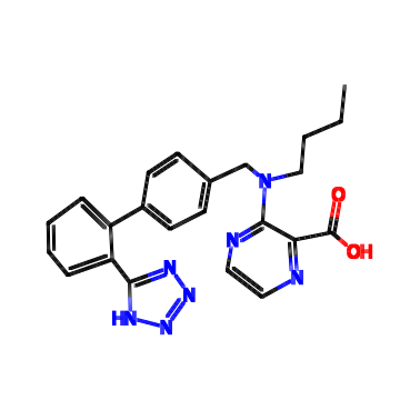 CCCCN(Cc1ccc(-c2ccccc2-c2nnn[nH]2)cc1)c1nccnc1C(=O)O